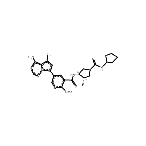 COc1ncc(-c2cc(C(F)(F)F)c3c(N)ncnn23)cc1C(=O)N[C@@H]1CN(C(=O)NC2CCCC2)C[C@@H]1F